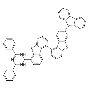 c1ccc(C2=NC(c3ccccc3)NC(c3cccc4c3sc3cccc(-c5cccc6sc7cc(-n8c9ccccc9c9ccccc98)ccc7c56)c34)N2)cc1